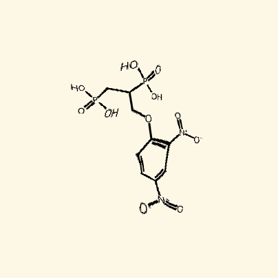 O=[N+]([O-])c1ccc(OCC(CP(=O)(O)O)P(=O)(O)O)c([N+](=O)[O-])c1